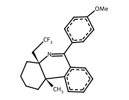 COc1ccc(C2=N[C@@]3(CC(F)(F)F)CCCC[C@@]3(C)c3ccccc32)cc1